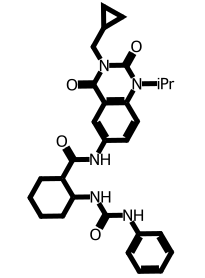 CC(C)n1c(=O)n(CC2CC2)c(=O)c2cc(NC(=O)C3CCCCC3NC(=O)Nc3ccccc3)ccc21